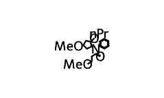 CCCOC1CC(OC)CC1N(C(=O)CCOC)c1ccccc1